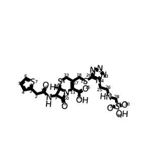 O=C(Cc1cccs1)NC1C(=O)N2C(C(=O)O)=C(CSc3nnnn3CCNCS(=O)(=O)O)CS[C@@H]12